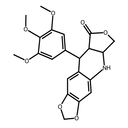 COc1cc(C2c3cc4c(cc3NC3COC(=O)C32)OCO4)cc(OC)c1OC